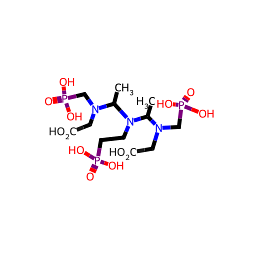 CC(N(CC(=O)O)CP(=O)(O)O)N(CCP(=O)(O)O)C(C)N(CC(=O)O)CP(=O)(O)O